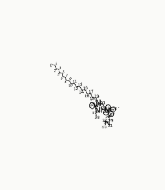 CCCCCCCCCCCCCCCCCCCCN(CCOP(=O)([O-])OCC[N+](C)(C)C)C(=O)NCC